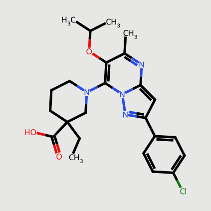 CCC1(C(=O)O)CCCN(c2c(OC(C)C)c(C)nc3cc(-c4ccc(Cl)cc4)nn23)C1